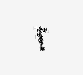 C[C@H](N)C(=O)NCCC(=O)ONC(=O)Cc1ccc(CCCCc2ccccc2)cc1